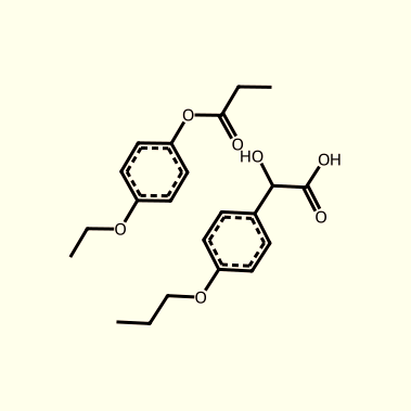 CCCOc1ccc(C(O)C(=O)O)cc1.CCOc1ccc(OC(=O)CC)cc1